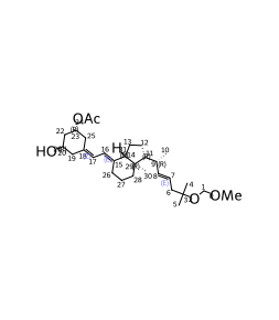 COCOC(C)(C)C/C=C/[C@@H](C)[C@H]1CC[C@H]2/C(=C/C=C3/C[C@@H](O)C[C@H](OC(C)=O)C3)CCC[C@]12C